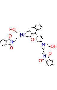 Cc1ccccc1-c1c2cc/c(=[N+](\CCO)CCCN3C(=O)c4ccccc4C3=O)cc-2oc2cc(N(CCO)CCCN3C(=O)c4ccccc4C3=O)ccc12